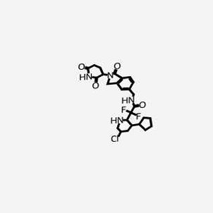 O=C1CCC(N2Cc3cc(CNC(=O)C(F)(F)C4NCC(Cl)CC4C4CCCC4)ccc3C2=O)C(=O)N1